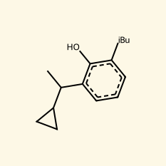 CCC(C)c1cccc(C(C)C2CC2)c1O